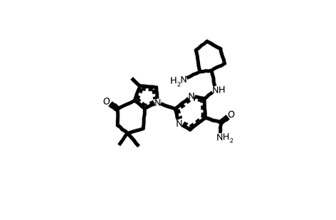 Cc1cn(-c2ncc(C(N)=O)c(NC3CCCCC3N)n2)c2c1C(=O)CC(C)(C)C2